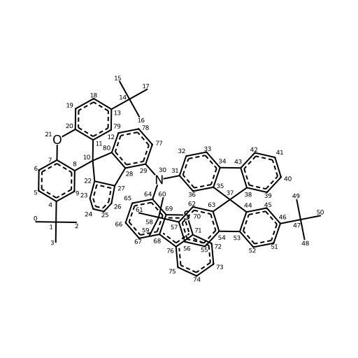 CC(C)(C)c1ccc2c(c1)C1(c3cc(C(C)(C)C)ccc3O2)c2ccccc2-c2c(N(c3ccc4c(c3)C3(c5ccccc5-4)c4cc(C(C)(C)C)ccc4-c4ccc(C(C)(C)C)cc43)c3cccc4c3sc3ccccc34)cccc21